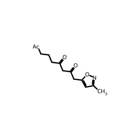 CC(=O)CCCC(=O)CC(=O)Cc1cc(C)no1